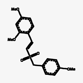 COc1ccc(CS(=O)(=O)C=Cc2ccc(OC)cc2OC)cc1